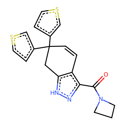 O=C(c1n[nH]c2c1C=CC(c1ccsc1)(c1ccsc1)C2)N1CCC1